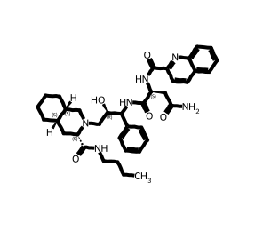 CCCCNC(=O)[C@@H]1C[C@@H]2CCCC[C@@H]2CN1C[C@@H](O)C(NC(=O)[C@H](CC(N)=O)NC(=O)c1ccc2ccccc2n1)c1ccccc1